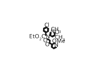 CCOC(=O)C(c1ccc(Cl)cc1)N(C(=O)CC(=O)c1cccnc1OC)c1cc(C)c(=O)n(C)c1